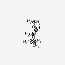 Cc1nc(N2CCc3c(c(C)nn3CC34CCC(NC(=O)CCN(C)C)(CC3)CC4)C2)c2c(n1)c(C)nn2C